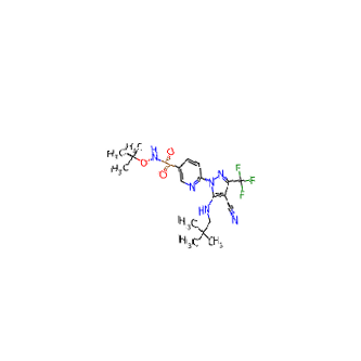 CC(C)(C)CNc1c(C#N)c(C(F)(F)F)nn1-c1ccc(S(=O)(=O)NOC(C)(C)C)cn1